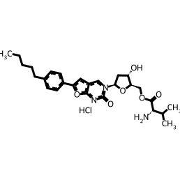 CCCCCc1ccc(-c2cc3cn([C@H]4C[C@H](O)[C@@H](COC(=O)[C@@H](N)C(C)C)O4)c(=O)nc3o2)cc1.Cl